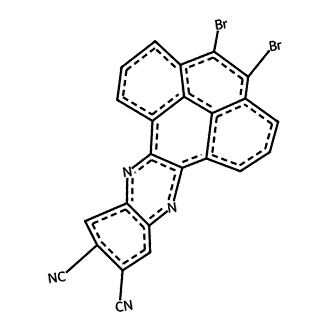 N#Cc1cc2nc3c4cccc5c(Br)c(Br)c6cccc(c3nc2cc1C#N)c6c54